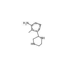 Cc1c(N)cccc1C1CNCCN1